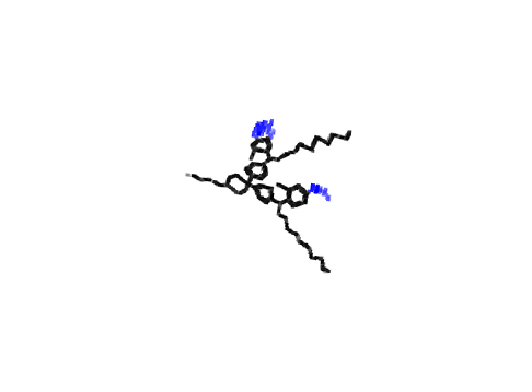 CCCCCCCCCCC(c1ccc(C2(c3ccc(C(CCCCCCCCCC)c4ccc(N)cc4C)cc3)CCC(CCCCC)CC2)cc1)c1ccc(N)cc1C